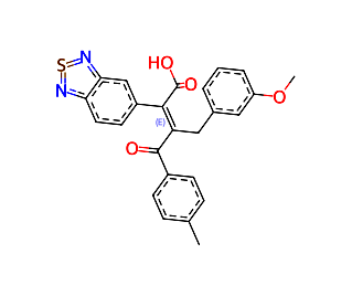 COc1cccc(C/C(C(=O)c2ccc(C)cc2)=C(\C(=O)O)c2ccc3nsnc3c2)c1